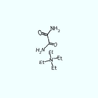 CC[N+](CC)(CC)CC.NC(=O)C(N)=O